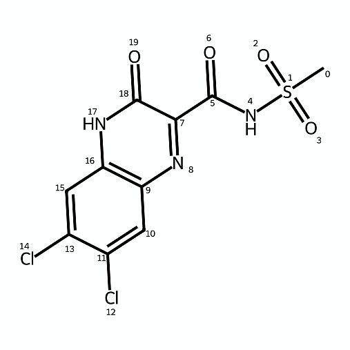 CS(=O)(=O)NC(=O)c1nc2cc(Cl)c(Cl)cc2[nH]c1=O